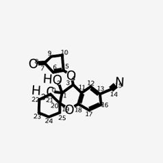 CC1(O)C(OC2=CC(=O)CC2)c2cc(C#N)ccc2OC12CCCCC2